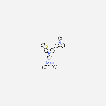 C1=C(c2ccccc2)N=C(c2ccc(-n3c4ccc(-c5ccc6c(c5)c5ccccc5n6-c5ccccc5)cc4c4c5sc6ccccc6c5ccc43)cc2)NC1c1ccccc1